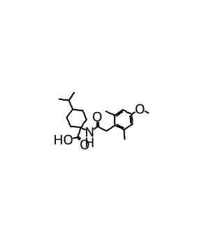 COc1cc(C)c(CC(=O)NC2(C(=O)O)CCC(C(C)C)CC2)c(C)c1